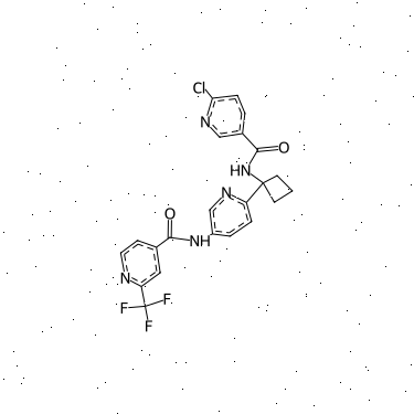 O=C(Nc1ccc(C2(NC(=O)c3ccc(Cl)nc3)CCC2)nc1)c1ccnc(C(F)(F)F)c1